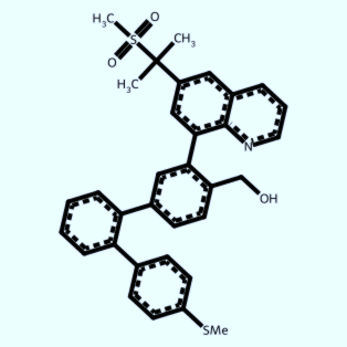 CSc1ccc(-c2ccccc2-c2ccc(CO)c(-c3cc(C(C)(C)S(C)(=O)=O)cc4cccnc34)c2)cc1